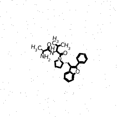 CC(C)[C@H](NC(=O)[C@H](C)N)C(=O)N1CCC[C@H]1Cc1c(-c2ccccc2)oc2ccccc12